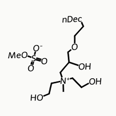 CCCCCCCCCCCCOCC(O)C[N+](C)(CCO)CCO.COS(=O)(=O)[O-]